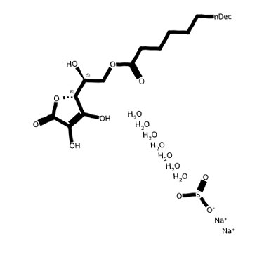 CCCCCCCCCCCCCCCC(=O)OC[C@H](O)[C@H]1OC(=O)C(O)=C1O.O.O.O.O.O.O.O.O=S([O-])[O-].[Na+].[Na+]